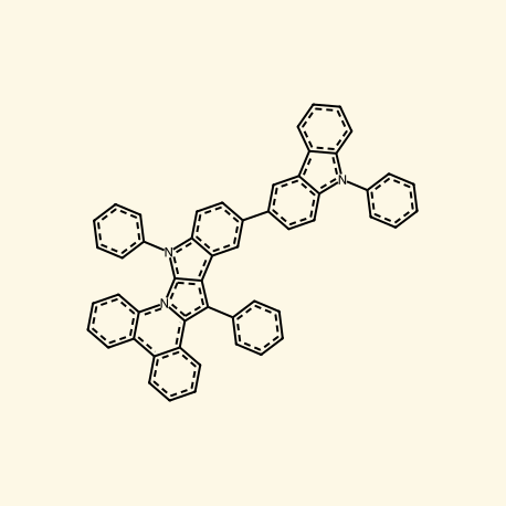 c1ccc(-c2c3c4cc(-c5ccc6c(c5)c5ccccc5n6-c5ccccc5)ccc4n(-c4ccccc4)c3n3c4ccccc4c4ccccc4c23)cc1